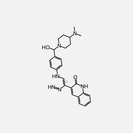 CN(C)C1CCN(C(O)c2ccc(N/C=C(\N=N)c3cc4ccccc4[nH]c3=O)cc2)CC1